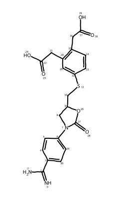 N=C(N)c1ccc(N2CC(CSc3ccc(CC(=O)O)c(CC(=O)O)c3)OC2=O)cc1